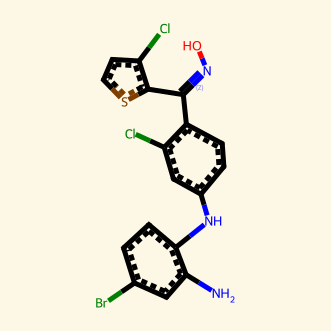 Nc1cc(Br)ccc1Nc1ccc(/C(=N/O)c2sccc2Cl)c(Cl)c1